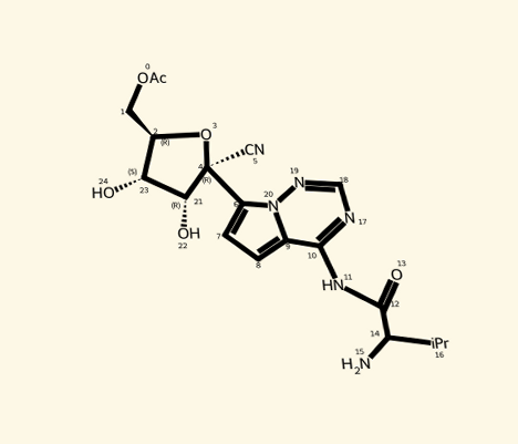 CC(=O)OC[C@H]1O[C@@](C#N)(c2ccc3c(NC(=O)C(N)C(C)C)ncnn23)[C@H](O)[C@@H]1O